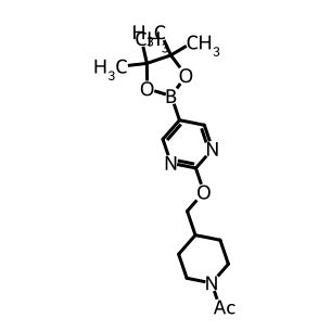 CC(=O)N1CCC(COc2ncc(B3OC(C)(C)C(C)(C)O3)cn2)CC1